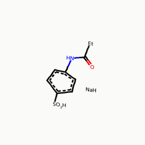 CCC(=O)Nc1ccc(S(=O)(=O)O)cc1.[NaH]